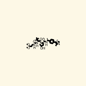 COC(CCNC(=O)NC(C(=O)N1C[C@H](O)C[C@H]1C(=O)N[C@@H](C)c1ccc(-c2scnc2C)cc1)C(C)(C)C)OC